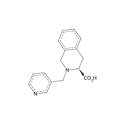 O=C(O)[C@@H]1Cc2ccccc2CN1Cc1cccnc1